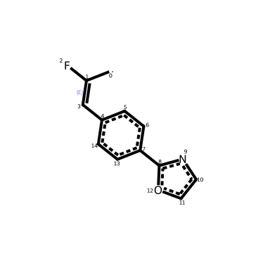 [CH2]/C(F)=C\c1ccc(-c2ncco2)cc1